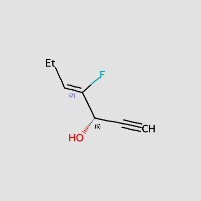 C#C[C@H](O)/C(F)=C/CC